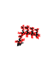 O=C([O-])OCC(O)C(O)O.O=C([O-])OCC(O)C(O)O.O=C([O-])OCC(O)C(O)O.O=C([O-])OCC(O)C(O)O.O=C([O-])OCC(O)C(O)O.[Al+3].[Mg+2]